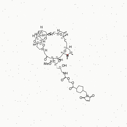 C=C1C[C@@H]2CC[C@@]3(O)C[C@@H]4C[C@@H]5O[C@H]6CC[C@H](CC(=O)C[C@@H]7[C@@H](OC)[C@@H](C[C@H](O)CNC(=O)OCOC(=O)C8CCC(CN9C(=O)C=CC9=O)CC8)O[C@H]7C[C@H]7O[C@@H](CC[C@@H]1O2)C[C@@H](C)C7=C)O[C@@H]6[C@H](O3)[C@@H]5O4